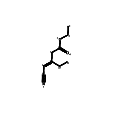 CCOC(=O)C/C(=C/C#N)CC